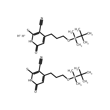 CC(C)(C)[Si](C)(C)OCCCc1cc(=O)[nH]c([S-])c1C#N.CC(C)(C)[Si](C)(C)OCCCc1cc(=O)[nH]c([S-])c1C#N.[H+].[H+]